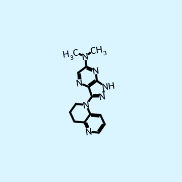 CN(C)c1cnc2c(N3CCCc4ncccc43)n[nH]c2n1